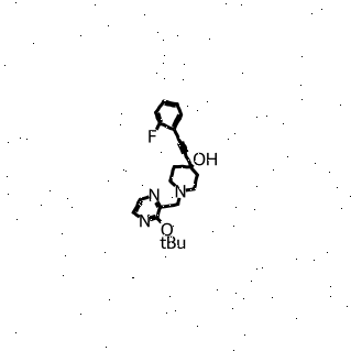 CC(C)(C)Oc1nccnc1CN1CCC(O)(C#Cc2ccccc2F)CC1